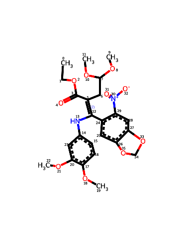 CCOC(=O)/C(CC(OC)OC)=C(\Nc1ccc(OC)c(OC)c1)c1cc2c(cc1[N+](=O)[O-])OCO2